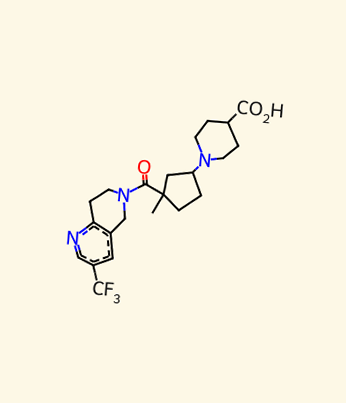 CC1(C(=O)N2CCc3ncc(C(F)(F)F)cc3C2)CCC(N2CCC(C(=O)O)CC2)C1